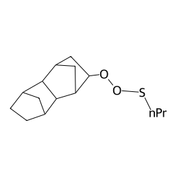 CCCSOOC1CC2CC1C1C3CCC(C3)C21